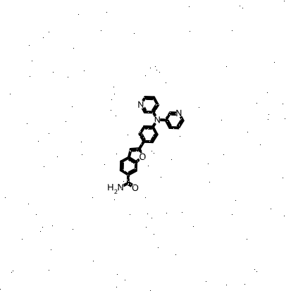 NC(=O)c1ccc2cc(-c3ccc(N(c4cccnc4)c4cccnc4)cc3)oc2c1